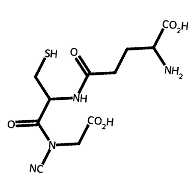 N#CN(CC(=O)O)C(=O)C(CS)NC(=O)CCC(N)C(=O)O